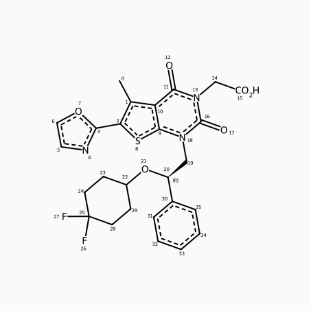 Cc1c(-c2ncco2)sc2c1c(=O)n(CC(=O)O)c(=O)n2C[C@H](OC1CCC(F)(F)CC1)c1ccccc1